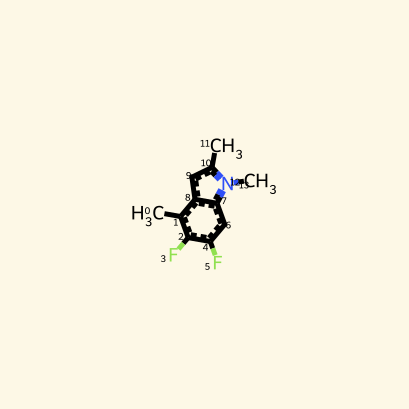 Cc1c(F)c(F)cc2c1cc(C)n2C